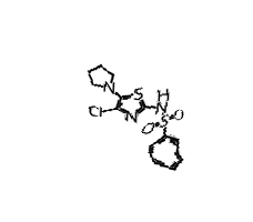 O=S(=O)(Nc1nc(Cl)c(N2CCCC2)s1)c1ccccc1